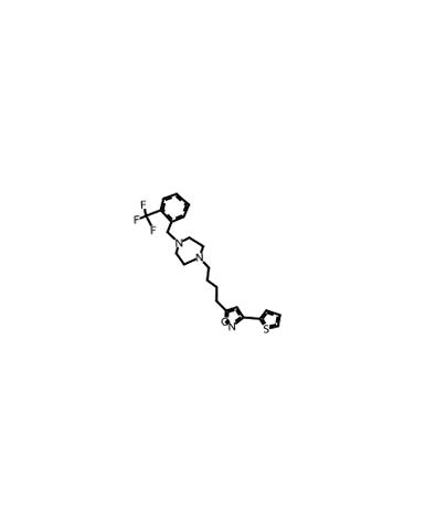 FC(F)(F)c1ccccc1CN1CCN(CCCCc2cc(-c3cccs3)no2)CC1